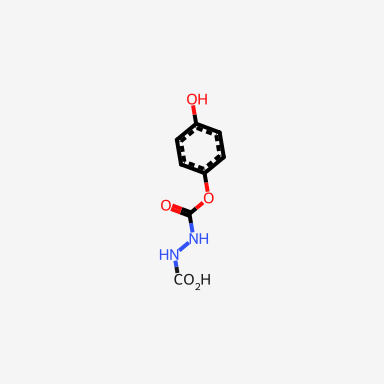 O=C(O)NNC(=O)Oc1ccc(O)cc1